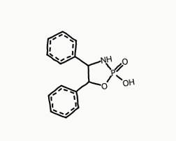 O=P1(O)NC(c2ccccc2)C(c2ccccc2)O1